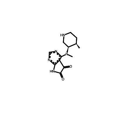 C[C@@H]1CCNC[C@@H]1N(C)c1ncnc2c1C(=O)C(=O)N2